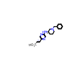 O=C(O)/C=C/c1cnc(N[C@@H]2CCCN(Cc3ccccc3)C2)cn1